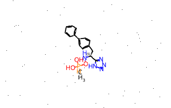 C[PH](O)(O)ON[C@@H](Cc1ccc(-c2ccccc2)cc1)c1nnn[nH]1